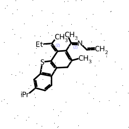 C=C/N=C(/C)C1=C(C)Cc2c(sc3cc(C(C)C)ccc23)/C1=C(/C)CC